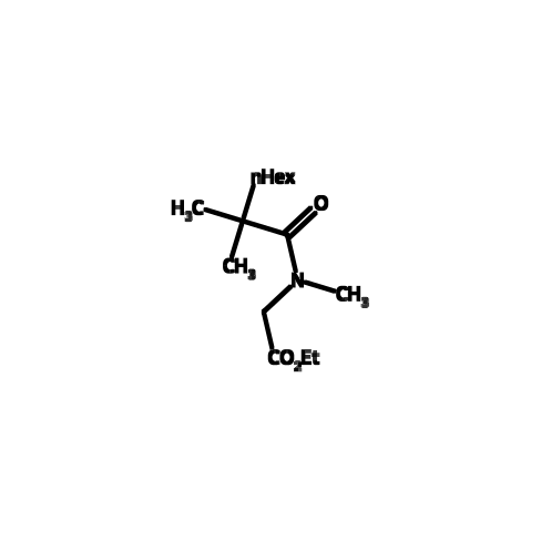 CCCCCCC(C)(C)C(=O)N(C)CC(=O)OCC